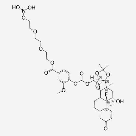 COc1cc(C(=O)OCCOCCOCCON(O)O)ccc1OC(=O)OCC(=O)[C@@]12OC(C)(C)O[C@@H]1CC1C3CCC4=CC(=O)C=C[C@]4(C)[C@@]3(F)[C@@H](O)C[C@@]12C